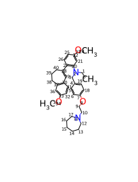 CCN(Cc1ccc(OCCN2CCCCCC2)cc1)c1cc(OC)ccc1C1=Cc2ccc(OC)cc2CCC1